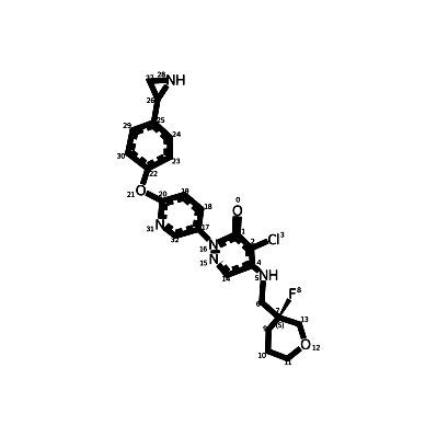 O=c1c(Cl)c(NC[C@@]2(F)CCCOC2)cnn1-c1ccc(Oc2ccc(C3CN3)cc2)nc1